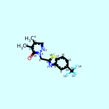 Cc1[c]nn(Cc2nc3cc(C(F)(F)F)ccc3s2)c(=O)c1C